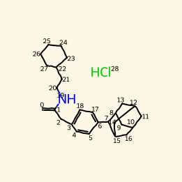 C=C(Cc1ccc(C2C3CC4CC(C3)CC2C4)cc1)NCCC1CCCCC1.Cl